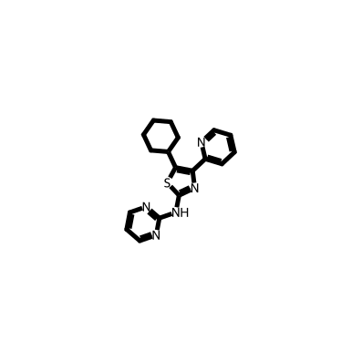 c1ccc(-c2nc(Nc3ncccn3)sc2C2CCCCC2)nc1